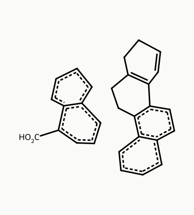 C1=CC2=C(CC1)CCc1c2ccc2ccccc12.O=C(O)c1cccc2ccccc12